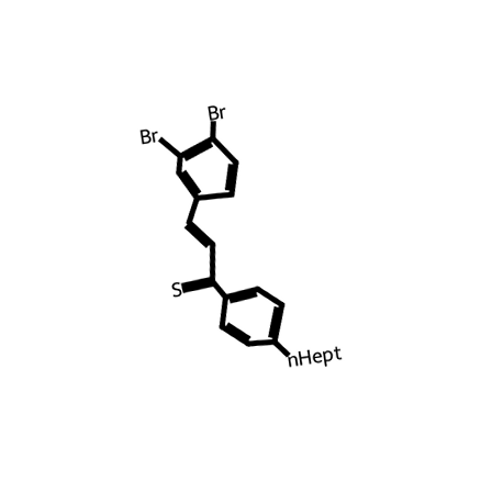 CCCCCCCc1ccc(C(=S)C=Cc2ccc(Br)c(Br)c2)cc1